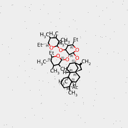 C=C1C[C@@]23CC[C@H]4[C@@](C)(CCC[C@@]4(C)C(C)=O)[C@@H]2CC[C@]1(OC1O[C@H](CC)C(C)C(OC2O[C@H](CC)C(C)C(C)[C@H]2C)[C@H]1O[C@@H]1OC(CC)[C@@H](C)C(C)C1C)C3